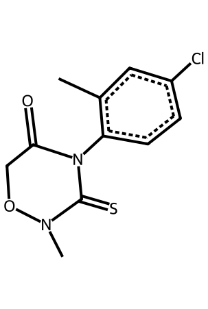 Cc1cc(Cl)ccc1N1C(=O)CON(C)C1=S